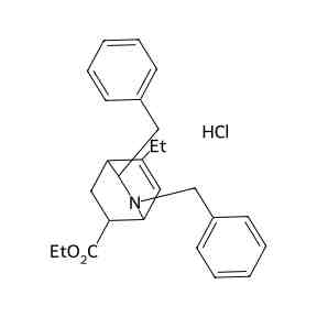 CCOC(=O)C1CC2C(CC)=CC1N(Cc1ccccc1)C2Cc1ccccc1.Cl